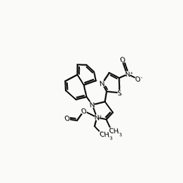 CC[N+]1(OC=O)C(C)=CC(c2ncc([N+](=O)[O-])s2)N1c1cccc2ccccc12